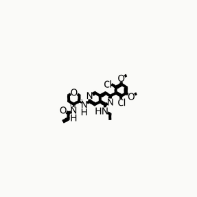 C=CC(=O)N[C@H]1CCOC[C@H]1Nc1cc2c(NCC)nc(-c3c(Cl)c(OC)cc(OC)c3Cl)cc2cn1